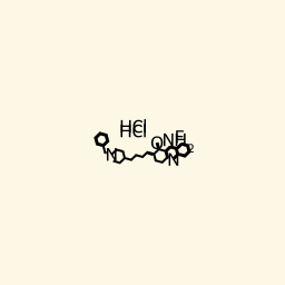 Cl.Cl.Nc1c2c(nc3cccc(F)c13)CC/C(=C\CCCC1CCN(Cc3ccccc3)CC1)C2=O